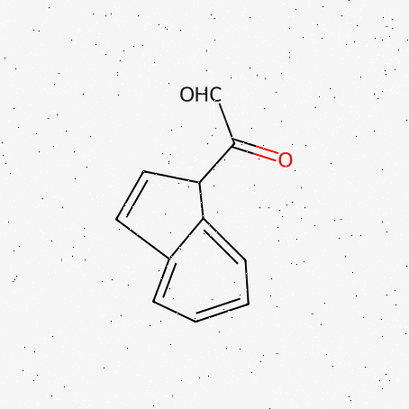 O=CC(=O)C1C=Cc2ccccc21